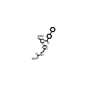 CON=C1C[C@@H](c2noc(CCNC(=O)OC(C)(C)C)n2)N(C(=O)c2ccc(-c3ccccc3)cc2)C1